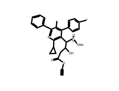 C#COC(=O)CC(O)C(c1c(C2CC2)nc(-c2ccccc2)c(C)c1-c1ccc(F)cc1)[PH](=O)OC